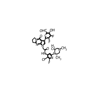 CC1CN(C)C[C@H](C)N1c1cc(NC(=O)Cn2cc(-c3cc(C=O)c(O)c(F)c3F)c3c(=O)n4c(nc32)CCC4)c(Cl)c(F)n1